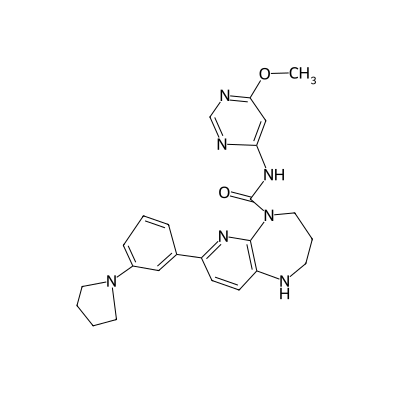 COc1cc(NC(=O)N2CCCNc3ccc(-c4cccc(N5CCCC5)c4)nc32)ncn1